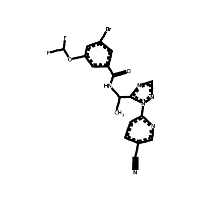 CC(NC(=O)c1cc(Br)cc(OC(F)F)c1)c1ncnn1-c1ccc(C#N)cn1